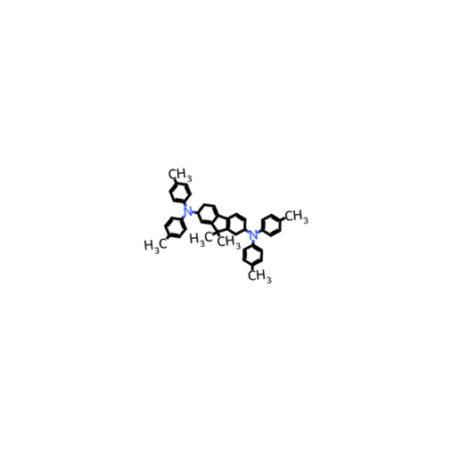 Cc1ccc(N(c2ccc(C)cc2)C2C=C3C(=CC2)C2=C(CC(N(c4ccc(C)cc4)c4ccc(C)cc4)C=C2)C3(C)C)cc1